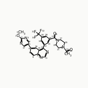 COc1ncc(-c2ccc3ncnc(-c4cc(C(=O)N5CCN(C(C)=O)CC5)cc(C(F)(F)F)c4)c3c2)cn1